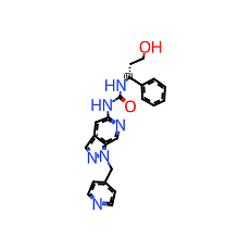 O=C(Nc1cc2cnn(Cc3ccncc3)c2cn1)N[C@H](CCO)c1ccccc1